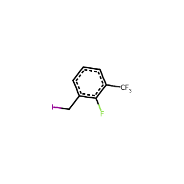 Fc1c(CI)cccc1C(F)(F)F